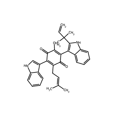 C=CC(C)(C)c1[nH]c2ccccc2c1C1=C(O)C(=O)C(c2c[nH]c3ccccc23)=C(CC=C(C)C)C1=O